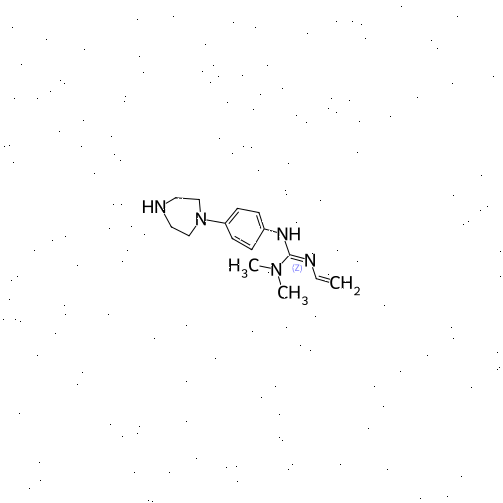 C=C/N=C(/Nc1ccc(N2CCNCC2)cc1)N(C)C